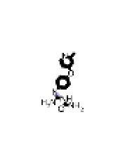 Cc1cc(Oc2ccc(/N=C(/N)NC(N)=O)cc2)ccn1